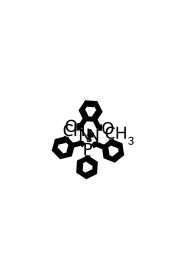 Cc1ccccc1C1n2c(=O)c3ccccc3c(=O)n2C(c2ccccc2C)P1c1ccccc1